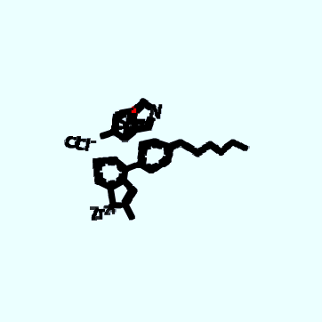 CC1=C2C3=CN=CC3=C1[Si]2(C)C.CCCCCCc1ccc(-c2cccc3c2C=C(C)[CH]3[Zr+2])cc1.[Cl-].[Cl-]